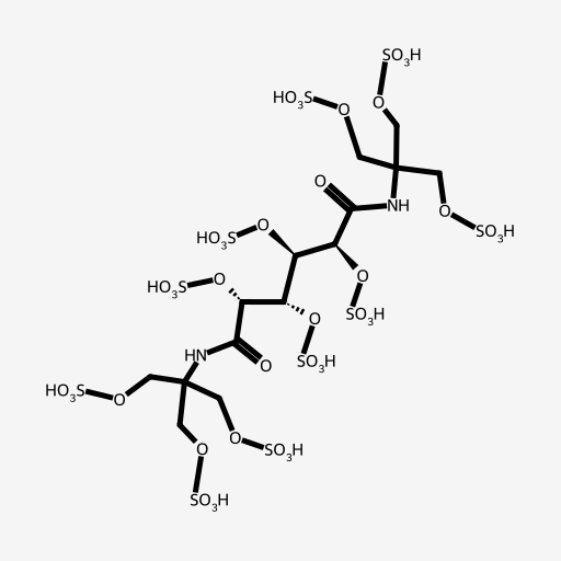 O=C(NC(COS(=O)(=O)O)(COS(=O)(=O)O)COS(=O)(=O)O)[C@@H](OS(=O)(=O)O)[C@H](OS(=O)(=O)O)[C@H](OS(=O)(=O)O)[C@@H](OS(=O)(=O)O)C(=O)NC(COS(=O)(=O)O)(COS(=O)(=O)O)COS(=O)(=O)O